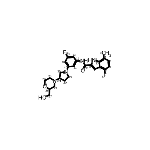 Cc1ccc(F)c2cc(C(=O)Nc3cc(F)cc(N4CCC(N5CCOC(CO)C5)C4)c3)[nH]c12